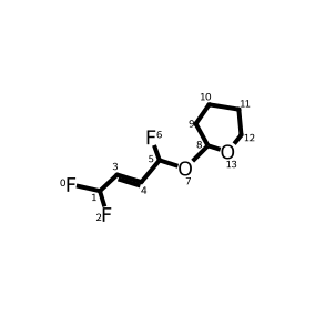 FC(F)C=CC(F)OC1CCCCO1